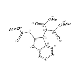 COC(=O)CC1Oc2ccccc2C1C(C(=O)OC)C(=O)OC